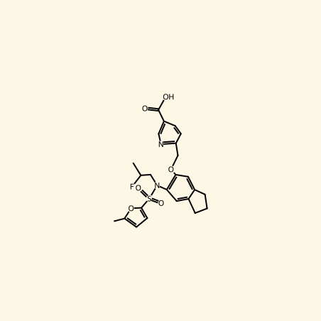 Cc1ccc(S(=O)(=O)N(CC(C)F)c2cc3c(cc2OCc2ccc(C(=O)O)cn2)CCC3)o1